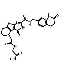 NC(=O)CNC(=O)CC1CCCc2sc3nc(C(=O)NCc4ccc5c(c4)NC(=O)CO5)[nH]c(=O)c3c21